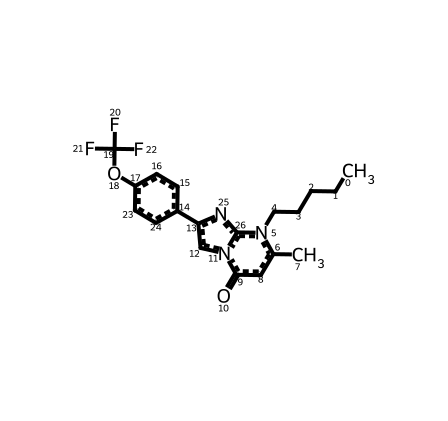 CCCCCn1c(C)cc(=O)n2cc(-c3ccc(OC(F)(F)F)cc3)nc12